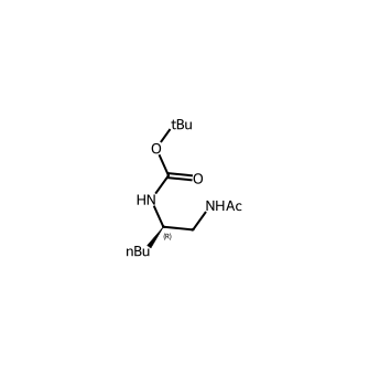 CCCC[C@H](CNC(C)=O)NC(=O)OC(C)(C)C